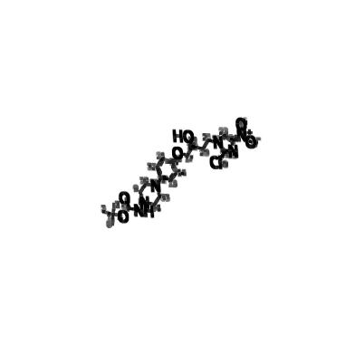 CC(C)(C)OC(=O)NN1CCN(c2ccc(OC[C@H](O)CCn3cc([N+](=O)[O-])nc3Cl)cc2)CC1